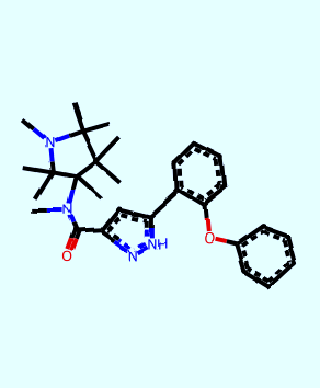 CN1C(C)(C)C(C)(C)C(C)(N(C)C(=O)c2cc(-c3ccccc3Oc3ccccc3)[nH]n2)C1(C)C